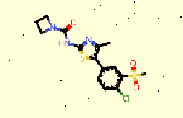 Cc1nc(NC(=O)N2CCC2)sc1-c1ccc(Cl)c(S(C)(=O)=O)c1